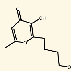 Cc1cc(=O)c(O)c(CCCCO)o1